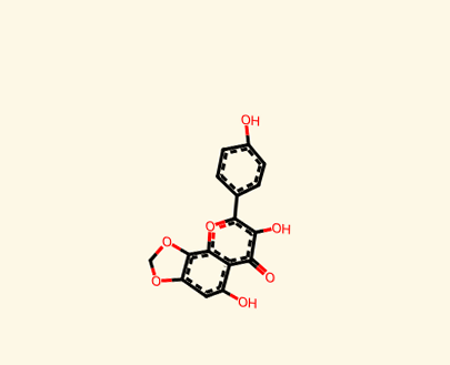 O=c1c(O)c(-c2ccc(O)cc2)oc2c3c(cc(O)c12)OCO3